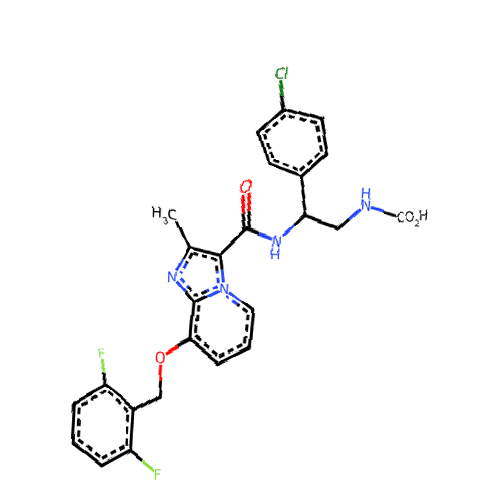 Cc1nc2c(OCc3c(F)cccc3F)cccn2c1C(=O)NC(CNC(=O)O)c1ccc(Cl)cc1